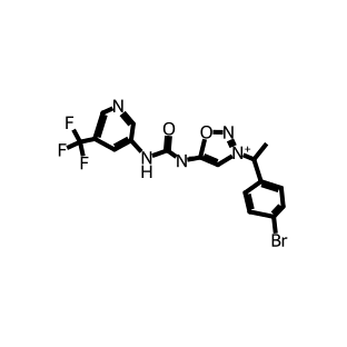 CC(c1ccc(Br)cc1)[n+]1cc([N-]C(=O)Nc2cncc(C(F)(F)F)c2)on1